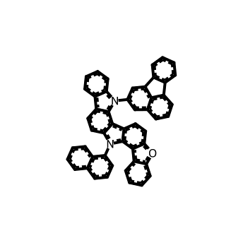 c1ccc2c(c1)-c1cccc3cc(-n4c5ccccc5c5ccc6c(c7ccc8oc9ccccc9c8c7n6-c6cccc7ccccc67)c54)cc-2c13